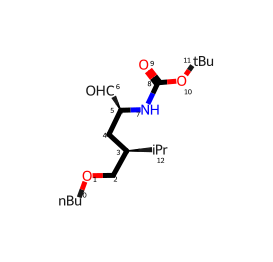 CCCCOC[C@@H](C[C@@H](C=O)NC(=O)OC(C)(C)C)C(C)C